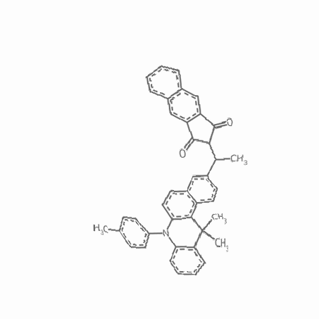 Cc1ccc(N2c3ccccc3C(C)(C)c3c2ccc2cc(C(C)C4C(=O)c5cc6ccccc6cc5C4=O)ccc32)cc1